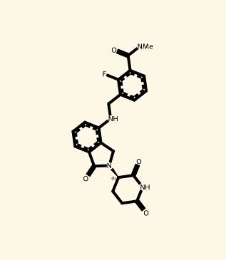 CNC(=O)c1cccc(CNc2cccc3c2CN([C@@H]2CCC(=O)NC2=O)C3=O)c1F